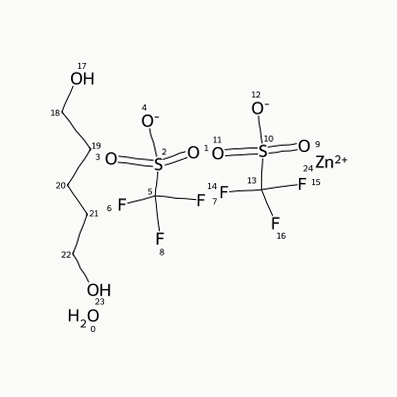 O.O=S(=O)([O-])C(F)(F)F.O=S(=O)([O-])C(F)(F)F.OCCCCCO.[Zn+2]